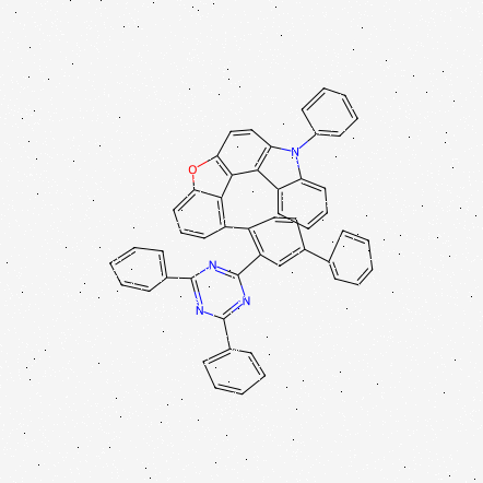 c1ccc(-c2ccc(-c3cccc4oc5ccc6c(c7ccccc7n6-c6ccccc6)c5c34)c(-c3nc(-c4ccccc4)nc(-c4ccccc4)n3)c2)cc1